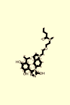 CCCC(=O)N(C)CCOCCn1ccc2cc(-n3c(O)nnc3-c3cc(C(C)C)c(O)cc3O)ccc21